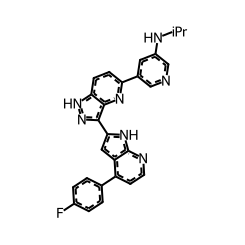 CC(C)Nc1cncc(-c2ccc3[nH]nc(-c4cc5c(-c6ccc(F)cc6)ccnc5[nH]4)c3n2)c1